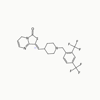 O=c1s/c(=C\C2CCN(Cc3ccc(C(F)(F)F)cc3C(F)(F)F)CC2)c2n1CC=CN=2